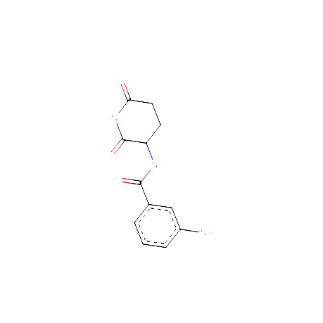 Nc1cccc(C(=O)NC2CCC(=O)NC2=O)c1